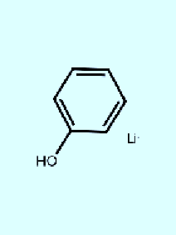 Oc1ccccc1.[Li]